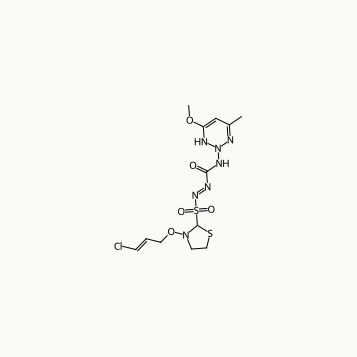 COC1=CC(C)=NN(NC(=O)N=NS(=O)(=O)C2SCCN2OCC=CCl)N1